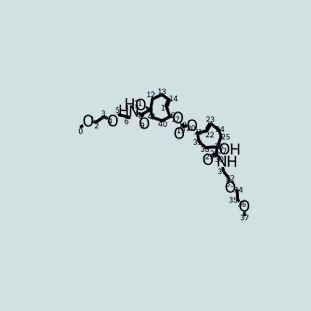 COCCOCCNC(=O)[C@]1(O)CC/C=C/[C@H](OC(=O)O[C@H]2/C=C/CC[C@@](O)(C(=O)NCCOCCOC)CC2)CC1